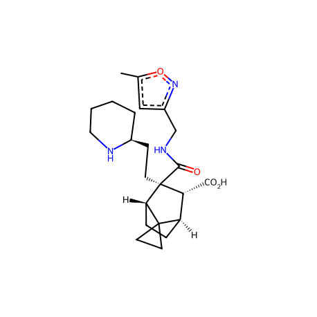 Cc1cc(CNC(=O)[C@@]2(CC[C@@H]3CCCCN3)[C@H](C(=O)O)[C@H]3CC[C@H]2C32CC2)no1